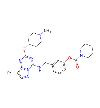 CC(C)c1cnn2c(NCc3cccc(OC(=O)N4CCCCC4)c3)nc(OC3CCN(C)CC3)nc12